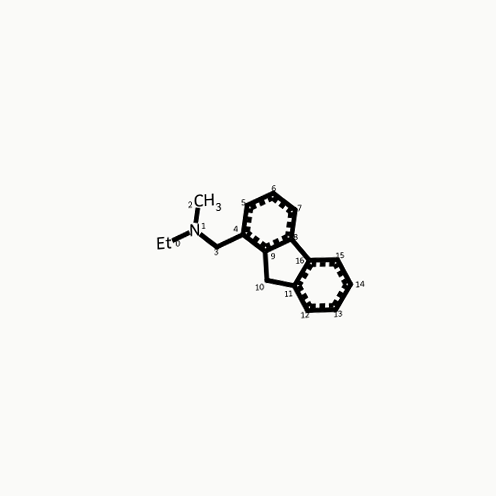 CCN(C)Cc1cccc2c1Cc1ccccc1-2